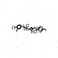 CCc1cnc(C(O)NC23CC(NC(=O)COc4ccc(Cl)c(F)c4)(C2)C3)cn1